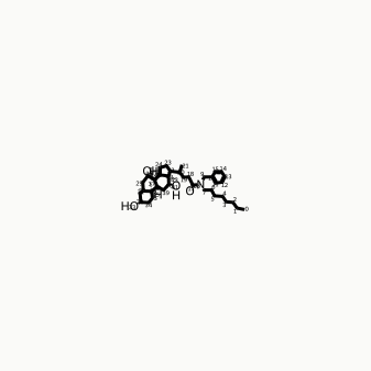 CCCCCCCCN(Cc1ccccc1)C(=O)CCC(C)C1CC[C@H]2C3[C@H](O)CC4C[C@H](O)CC[C@]4(C)[C@H]3C[C@H](O)[C@]12C